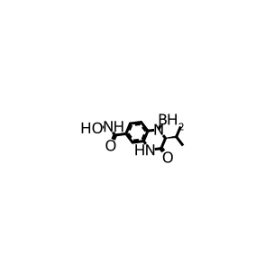 BN1c2ccc(C(=O)NO)cc2NC(=O)[C@@H]1C(C)C